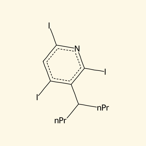 CCCC(CCC)c1c(I)cc(I)nc1I